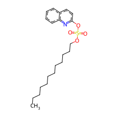 CCCCCCCCCCCCOS(=O)(=O)Oc1ccc2ccccc2n1